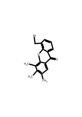 CC(=O)Cc1cccc2c(=O)c3cc(C)c(C)c(C)c3oc12